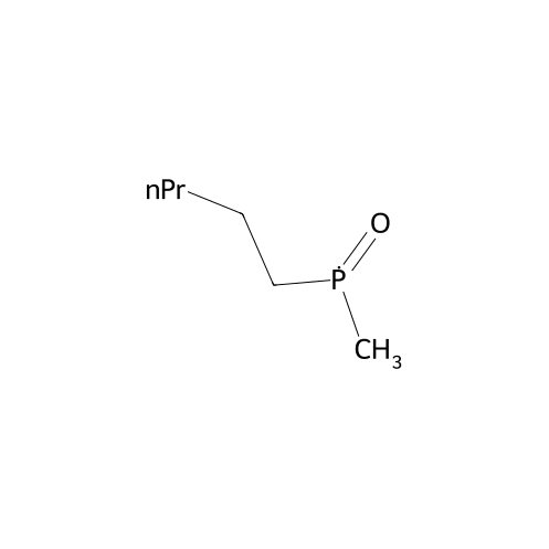 CCCCC[P](C)=O